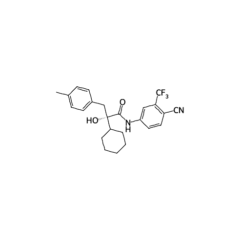 Cc1ccc(C[C@@](O)(C(=O)Nc2ccc(C#N)c(C(F)(F)F)c2)C2CCCCC2)cc1